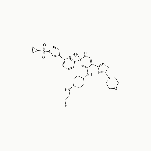 NC1(c2ccnc(-c3cnn(S(=O)(=O)C4CC4)c3)n2)C=C(NC2CCC(NCCF)CC2)C(c2csc(N3CCOCC3)n2)=CN1